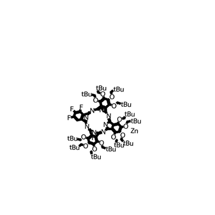 CC(C)(C)COc1c(OCC(C)(C)C)c(OCC(C)(C)C)c2c(c1OCC(C)(C)C)-c1nc-2nc2c3c(OCC(C)(C)C)c(OCC(C)(C)C)c(OCC(C)(C)C)c(OCC(C)(C)C)c3c(nc3nc(nc4[nH]c(n1)c1c(OCC(C)(C)C)c(OCC(C)(C)C)c(OCC(C)(C)C)c(OCC(C)(C)C)c41)-c1cc(F)c(F)c(F)c1-3)n2F.[Zn]